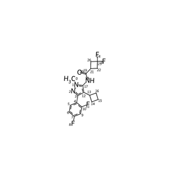 Cn1nc(-c2ccc(F)cc2F)c(C2CCC2)c1NC(=O)C1CC(F)(F)C1